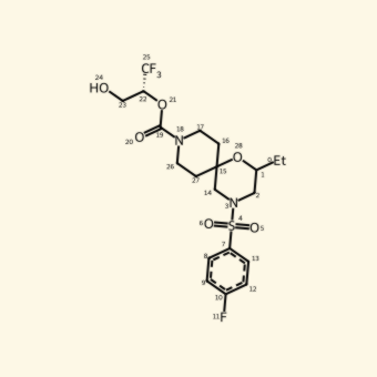 CCC1CN(S(=O)(=O)c2ccc(F)cc2)CC2(CCN(C(=O)O[C@H](CO)C(F)(F)F)CC2)O1